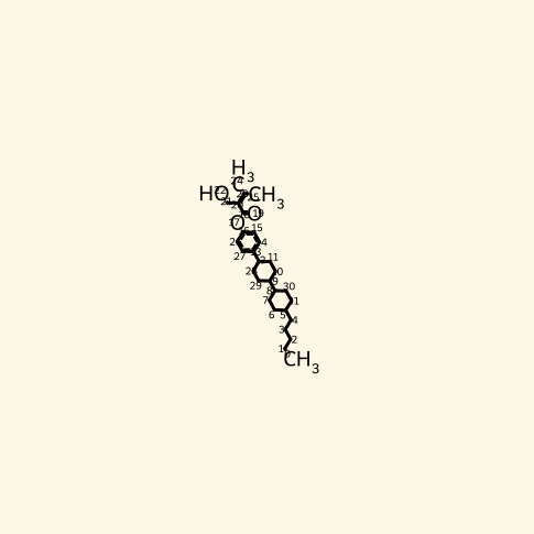 CCCCCC1CCC(C2CCC(c3ccc(OC(=O)C(CO)=C(C)C)cc3)CC2)CC1